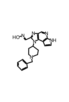 O/N=C/c1nc2cnc3[nH]ccc3c2n1C1CCN(Cc2ccccc2)CC1